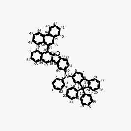 c1ccc(N(c2ccc3c(c2)C(c2ccccc2)(c2ccccc2)c2ccccc2-3)c2ccc3oc4c(-c5cc6ccccc6c6ccccc56)c5ccccc5cc4c3c2)cc1